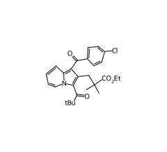 CCOC(=O)C(C)(C)Cc1c(C(=O)c2ccc(Cl)cc2)c2ccccn2c1C(=O)C(C)(C)C